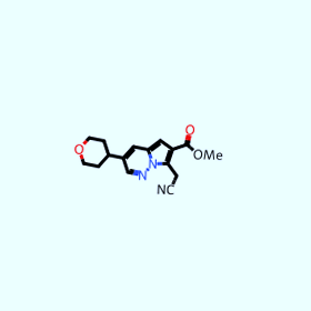 COC(=O)c1cc2cc(C3CCOCC3)cnn2c1CC#N